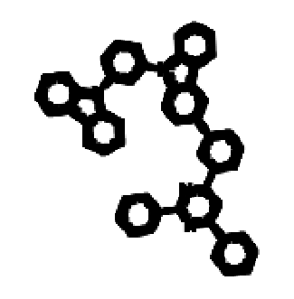 c1ccc(-c2cc(-c3cccc(-c4ccc5c(c4)c4ccccc4n5-c4cccc(-n5c6ccccc6c6ccccc65)c4)c3)nc(-c3ccccc3)n2)cc1